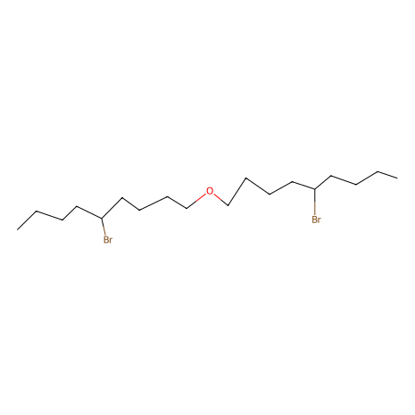 CCCCC(Br)CCCCOCCCCC(Br)CCCC